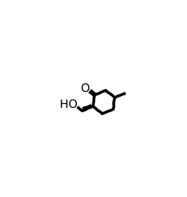 CC1CCC(=CO)C(=O)C1